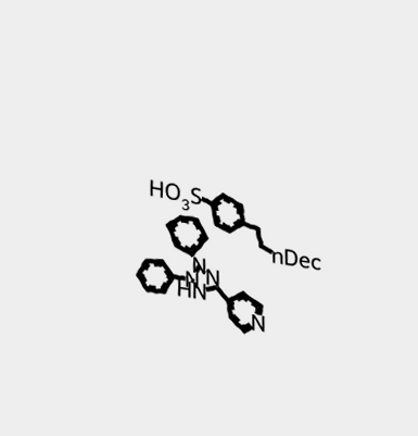 CCCCCCCCCCCCc1ccc(S(=O)(=O)O)cc1.c1ccc(N2N=C(c3ccncc3)NN2c2ccccc2)cc1